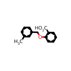 Cc1cccc(COc2ccccc2C(=O)O)c1